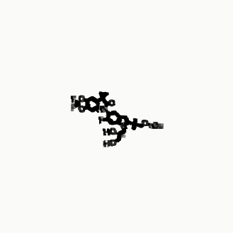 CCCCOCC(C)(C)c1cc2cc(NC(=O)C3(c4ccc5c(c4)OC(F)(F)O5)CC3)c(F)cc2n1C[C@@H](O)CO